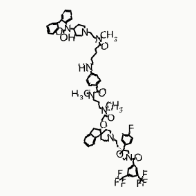 CN(CCN1CCC(N(C(=O)O)c2ccccc2-c2ccccc2)CC1)C(=O)CCCCNc1ccc(C(=O)N(C)CCCN(C)C(=O)CO[C@H]2Cc3ccccc3C23CCN(CC[C@]2(c4ccc(F)cc4)CN(C(=O)c4cc(C(F)(F)F)cc(C(F)(F)F)c4)CO2)CC3)cc1